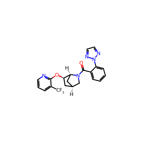 O=C(c1ccccc1-n1nccn1)N1C[C@H]2C[C@@H](Oc3ncccc3C(F)(F)F)[C@@H]1C2